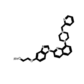 COCCOc1ccc2c(c1)ncn2-c1ccc2cccc(N3CCN(Cc4ccccn4)CC3)c2n1